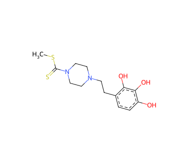 CSC(=S)N1CCN(CCc2ccc(O)c(O)c2O)CC1